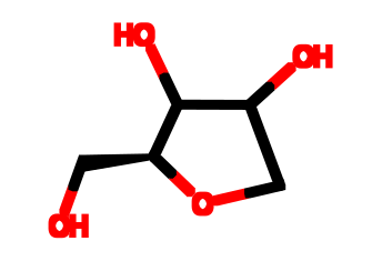 OC[C@@H]1OCC(O)C1O